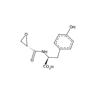 O=C(O)[C@H](Cc1ccc(O)cc1)NC(=O)[C@@H]1CO1